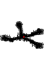 CO[C@@H]1O[C@H](CO)[C@H](O)[C@H](O)[C@H]1NC(=O)COCCc1cn(CCOCCOCCNC(=O)CCC(CCC(=O)NCCOCCOCCn2cc(CCOCC(=O)N[C@H]3[C@H](OC)O[C@H](CO)[C@H](O)[C@@H]3O)nn2)(CCC(=O)NCCOCCOCCn2cc(CCOCC(=O)N[C@H]3[C@H](OC)O[C@H](CO)[C@H](O)[C@@H]3O)nn2)NC(=O)CCCCCCCCCCC(=O)Oc2c(F)c(F)c(F)c(F)c2F)nn1